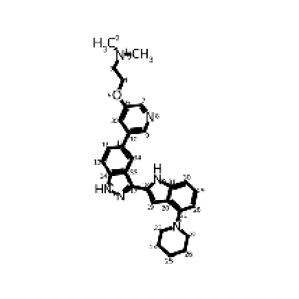 CN(C)CCOc1cncc(-c2ccc3[nH]nc(-c4cc5c(N6CCCCC6)cccc5[nH]4)c3c2)c1